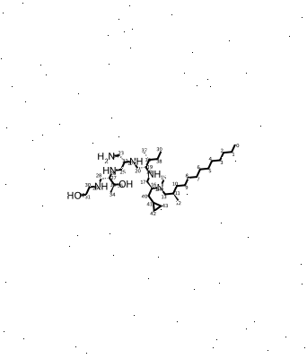 CCCCCCCCCCC[C@@H](C)CN(C)[C@H](CN[C@H](CN[C@@H](CN)CN[C@@H](CNCCO)[C@H](C)O)[C@H](C)CC)CC1CC1